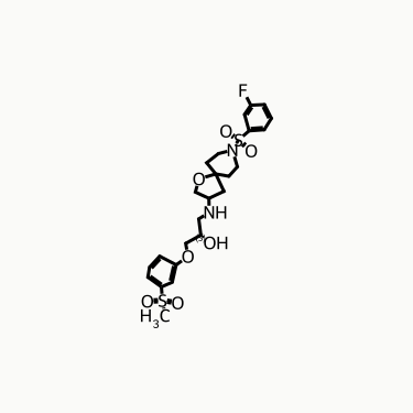 CS(=O)(=O)c1cccc(OC[C@@H](O)CNC2COC3(CCN(S(=O)(=O)c4cccc(F)c4)CC3)C2)c1